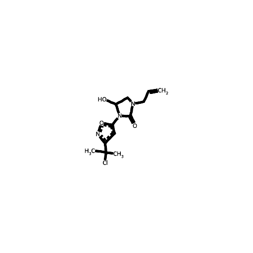 C=CCN1CC(O)N(c2cc(C(C)(C)Cl)no2)C1=O